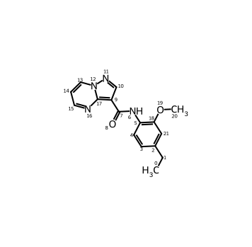 CCc1ccc(NC(=O)c2cnn3cccnc23)c(OC)c1